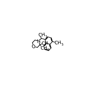 Cc1ccc(C(C)N2CCOCC2(C)C)c2ccccc12